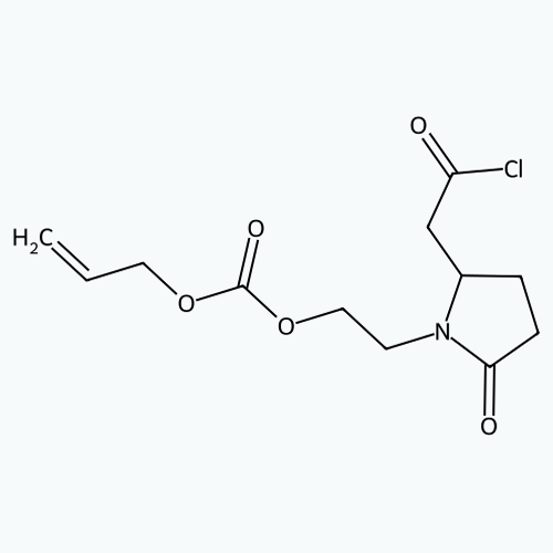 C=CCOC(=O)OCCN1C(=O)CCC1CC(=O)Cl